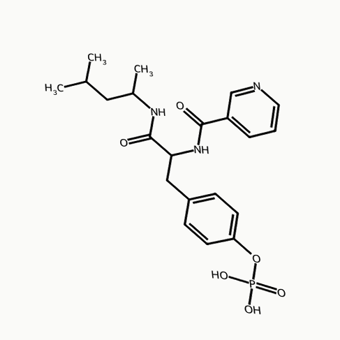 CC(C)CC(C)NC(=O)C(Cc1ccc(OP(=O)(O)O)cc1)NC(=O)c1cccnc1